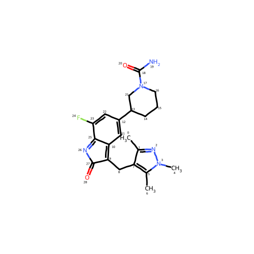 Cc1nn(C)c(C)c1CC1=c2cc(C3CCCN(C(N)=O)C3)cc(F)c2=NC1=O